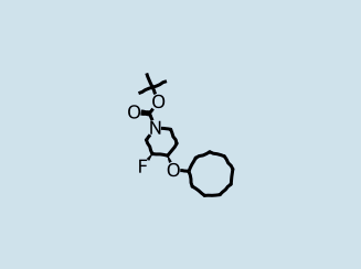 CC(C)(C)OC(=O)N1CC[C@@H](OC2CCCCCCCC2)[C@@H](F)C1